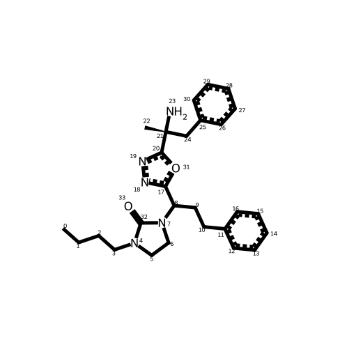 CCCCN1CCN(C(CCc2ccccc2)c2nnc([C@](C)(N)Cc3ccccc3)o2)C1=O